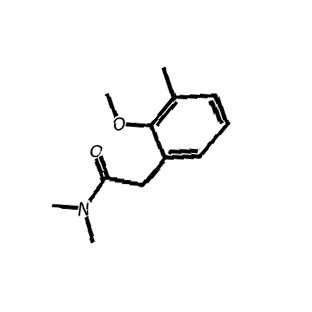 COc1c(C)cccc1CC(=O)N(C)C